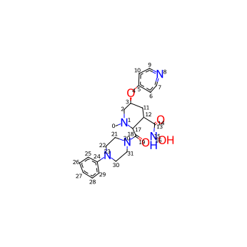 CN1C[C@@H](Oc2ccncc2)CC(C(=O)NO)C1C(=O)N1CCN(c2ccccc2)CC1